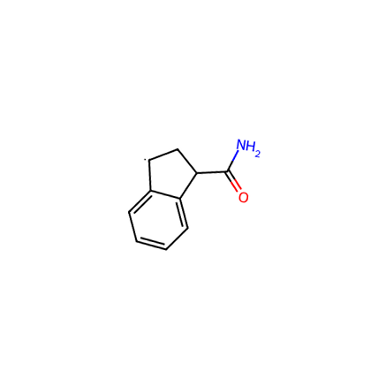 NC(=O)C1C[CH]c2ccccc21